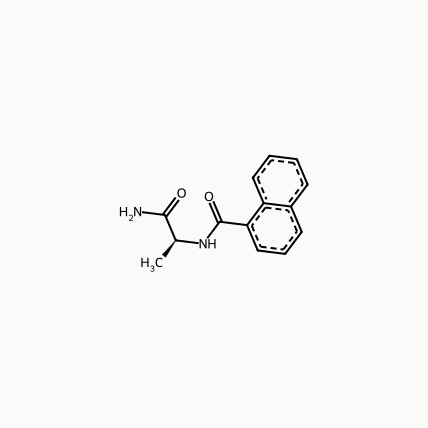 C[C@H](NC(=O)c1cccc2ccccc12)C(N)=O